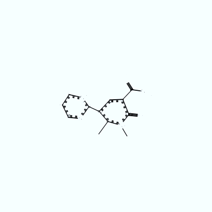 Cc1c(-c2ncccn2)cc(C(N)=O)c(=O)n1C